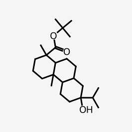 CC(C)C1(O)CCC2C(CCC3C(C)(C(=O)OC(C)(C)C)CCCC23C)C1